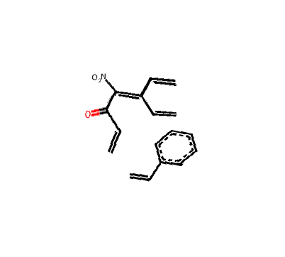 C=CC(=O)C(=C(C=C)C=C)[N+](=O)[O-].C=Cc1ccccc1